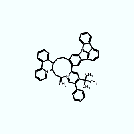 C=C1CC2C(CCc3cc4c(cc3-c3cc(C(C)(C)C)c(-c5ccccc5)c[n+]31)c1cccc3c5ccccc5n4c31)c1ccccc1-c1cccc[n+]12